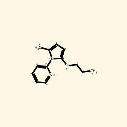 CCCSc1ccc(C)n1-c1ccccn1